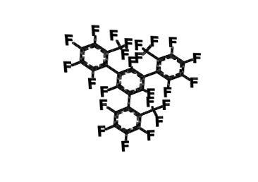 Fc1c(F)c(F)c(C(F)(F)F)c(-c2c(F)c(-c3c(F)c(F)c(F)c(F)c3C(F)(F)F)c(F)c(-c3c(F)c(F)c(F)c(F)c3C(F)(F)F)c2F)c1F